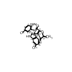 COc1ccc(Cl)cc1N1C(=O)C2=C(C(=O)C(C)O2)C12C(=O)Nc1cc(Cl)ccc12